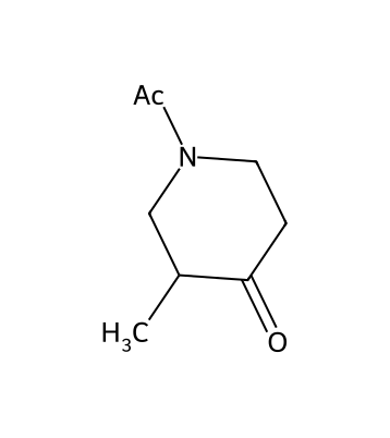 CC(=O)N1CCC(=O)C(C)C1